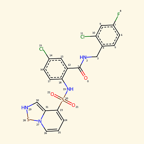 O=C(NCc1ccc(F)cc1Cl)c1cc(Cl)ccc1NS(=O)(=O)C1=CC=CN2SNC=C12